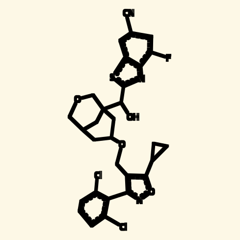 N#Cc1cc(F)c2nc(C(O)C34COCC(CC(OCc5c(-c6c(Cl)cccc6Cl)noc5C5CC5)C3)C4)sc2c1